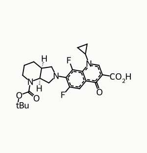 CC(C)(C)OC(=O)N1CCC[C@H]2CN(c3c(F)cc4c(=O)c(C(=O)O)cn(C5CC5)c4c3F)C[C@H]21